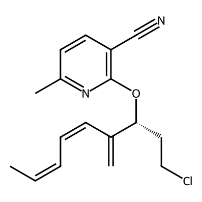 C=C(/C=C\C=C/C)[C@@H](CCCl)Oc1nc(C)ccc1C#N